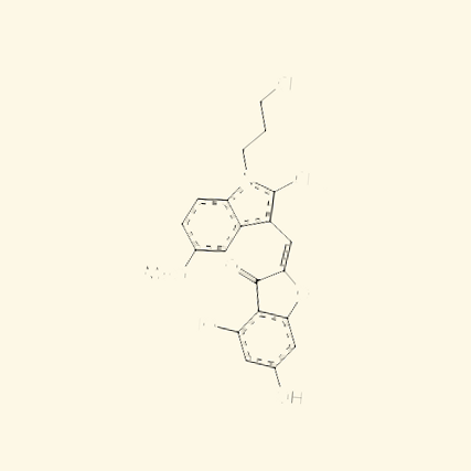 COc1ccc2c(c1)c(C=C1Oc3cc(O)cc(O)c3C1=O)c(C)n2CCCCl